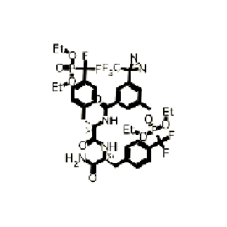 CCOP(=O)(OCC)C(F)(F)c1ccc(C[C@H](NC(=O)[C@H](Cc2ccc(C(F)(F)P(=O)(OCC)OCC)cc2)NC(=O)c2cc(C)cc(C3(C(F)(F)F)N=N3)c2)C(N)=O)cc1